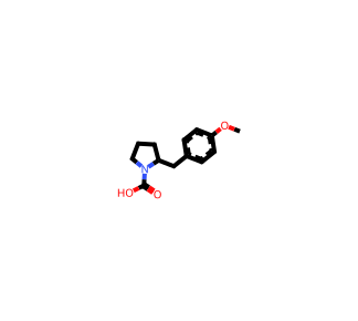 COc1ccc(CC2CCCN2C(=O)O)cc1